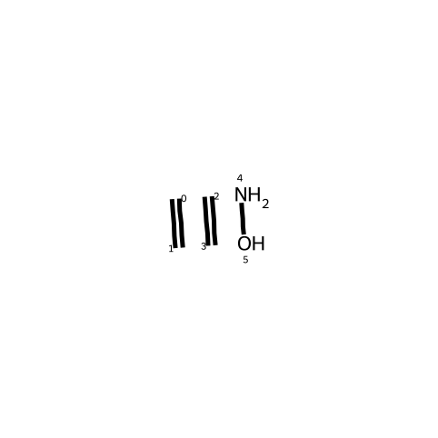 C=C.C=C.NO